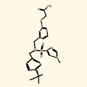 Cn1cnc(S(=O)(=O)N(Cc2ccc(C(C)(C)C)cc2)Cc2cccc(OCC(=O)O)c2)c1